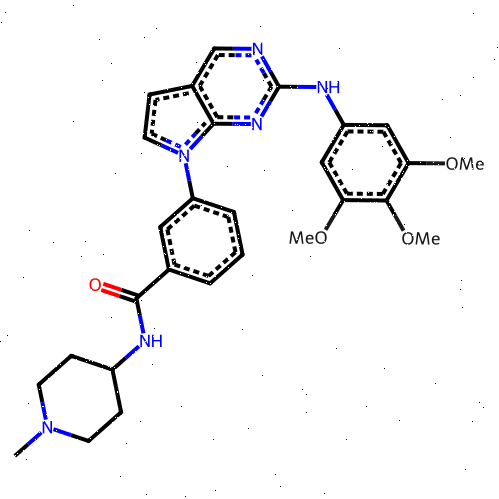 COc1cc(Nc2ncc3ccn(-c4cccc(C(=O)NC5CCN(C)CC5)c4)c3n2)cc(OC)c1OC